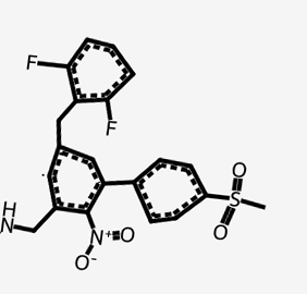 CNCc1[c]c(Cc2c(F)cccc2F)cc(-c2ccc(S(C)(=O)=O)cc2)c1[N+](=O)[O-]